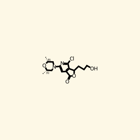 C[C@@H]1CN(c2cc3c(c(Cl)n2)C(CCCO)OC3=O)C[C@H](C)O1